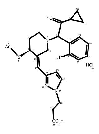 CC(=O)S[C@H]1CCN(C(C(=O)C2CC2)c2ccccc2F)C/C1=C\c1ccn(CCC(=O)O)n1.Cl